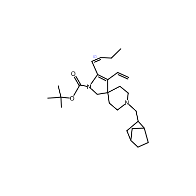 C=CC1=C(/C=C\CC)N(C(=O)OC(C)(C)C)CC12CCN(CC1CC3CCC1C3)CC2